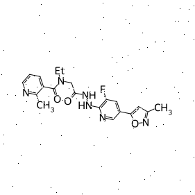 CCN(CC(=O)NNc1ncc(-c2cc(C)no2)cc1F)C(=O)c1cccnc1C